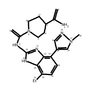 C=C(N)C1CCN(C(=C)Nc2nc3c(-c4cnn(C)c4)ccc(CC)c3[nH]2)CC1